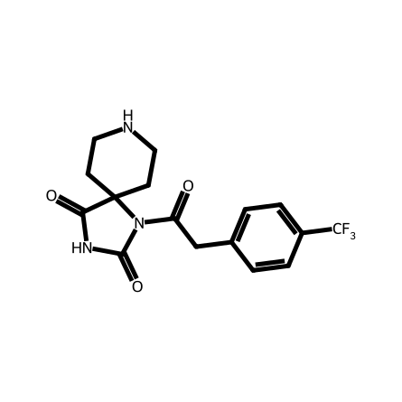 O=C(Cc1ccc(C(F)(F)F)cc1)N1C(=O)NC(=O)C12CCNCC2